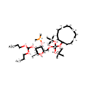 CC(=O)OCCOC(OCCOC(C)=O)O[C@@H]1[C@H](OP(C)C)[C@@H](CO[Si](OC2CCCCCCCCCCC2)(O[Si](C)(C)C)O[Si](C)(C)C)O[C@H]1C